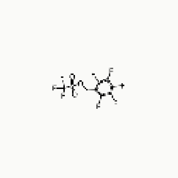 O=S(=O)(OCc1c(F)c(F)c(F)c(F)c1F)C(F)(F)F